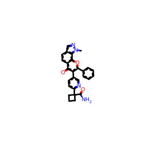 Cn1ncc2ccc3c(=O)c(-c4ccc(C5(C(N)=O)CCC5)nc4)c(-c4ccccc4)oc3c21